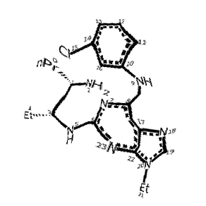 CCC[C@H](N)[C@@H](CC)Nc1nc(Nc2cccc(Cl)c2)c2ncn(CC)c2n1